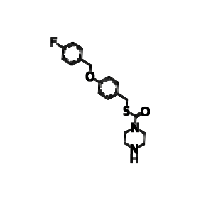 O=C(SCc1ccc(OCc2ccc(F)cc2)cc1)N1CCNCC1